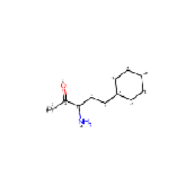 CC(C)C(=O)C(N)CCC1CCCCC1